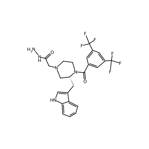 NNC(=O)CN1CCN(C(=O)c2cc(C(F)(F)F)cc(C(F)(F)F)c2)[C@H](Cc2c[nH]c3ccccc23)C1